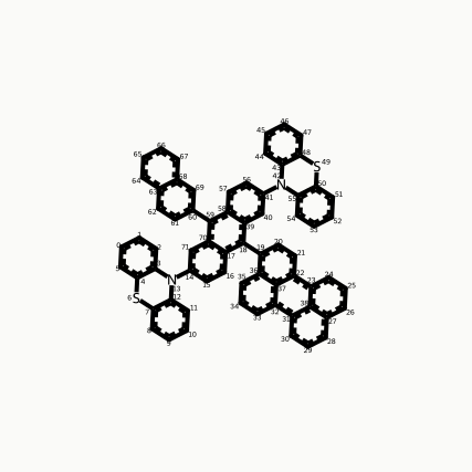 c1ccc2c(c1)Sc1ccccc1N2c1ccc2c(-c3ccc4c5cccc6cccc(c7cccc3c74)c65)c3cc(N4c5ccccc5Sc5ccccc54)ccc3c(-c3ccc4ccccc4c3)c2c1